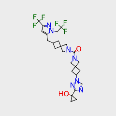 O=C(N1CC2(CC(Cc3cc(C(F)(F)F)nn3CC(F)(F)F)C2)C1)N1CC2(CC(n3cnc(C4(O)CC4)n3)C2)C1